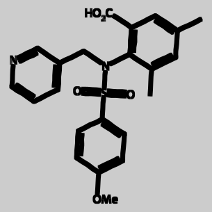 COc1ccc(S(=O)(=O)N(Cc2cccnc2)c2c(C)cc(C)cc2C(=O)O)cc1